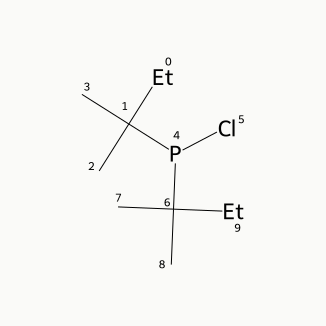 CCC(C)(C)P(Cl)C(C)(C)CC